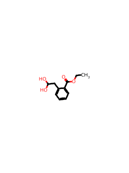 CCOC(=O)c1ccccc1CC(O)O